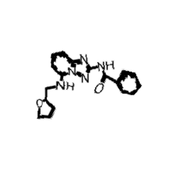 O=C(Nc1nc2cccc(NCC3CCCO3)n2n1)c1ccccc1